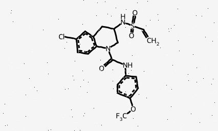 C=CS(=O)(=O)NC1Cc2cc(Cl)ccc2N(C(=O)Nc2ccc(OC(F)(F)F)cc2)C1